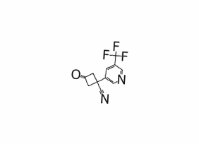 N#CC1(c2cncc(C(F)(F)F)c2)CC(=O)C1